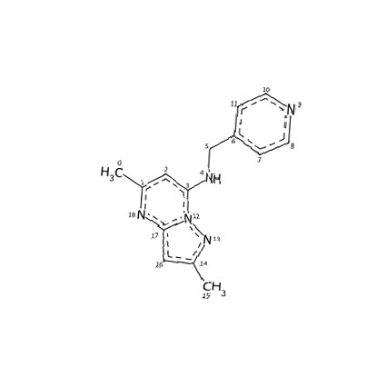 Cc1cc(NCc2ccncc2)n2nc(C)cc2n1